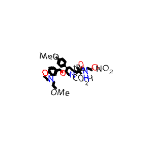 COCCCN1CCOc2ccc(CO[C@H]3CN(C(=O)O)[C@@](CC(C)(C)C(=O)NCCO[N+](=O)[O-])(C(C)(C)C)C[C@@H]3c3ccc(OC)cc3)cc21